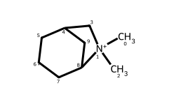 C[N+]1(C)CC2C[CH]CC1C2